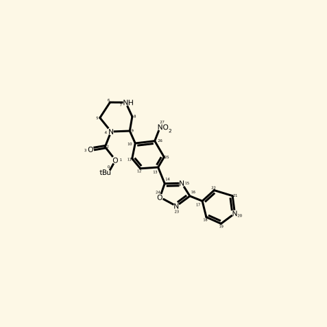 CC(C)(C)OC(=O)N1CCNCC1c1ccc(-c2nc(-c3ccncc3)no2)cc1[N+](=O)[O-]